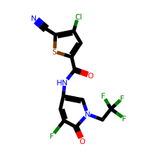 N#Cc1sc(C(=O)Nc2cc(F)c(=O)n(CC(F)(F)F)c2)cc1Cl